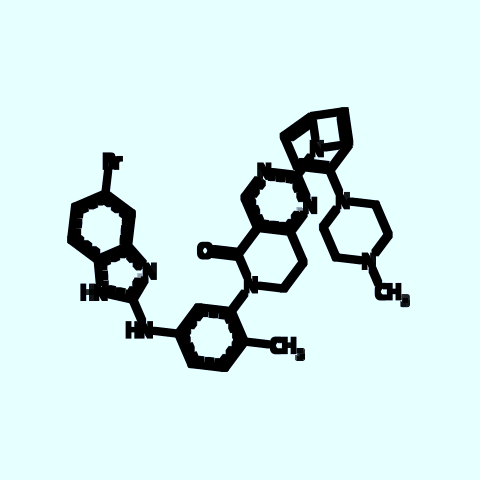 Cc1ccc(Nc2nc3cc(Br)ccc3[nH]2)cc1N1CCc2nc(N3C4=CC=C(N5CCN(C)CC5)C3=C4)ncc2C1=O